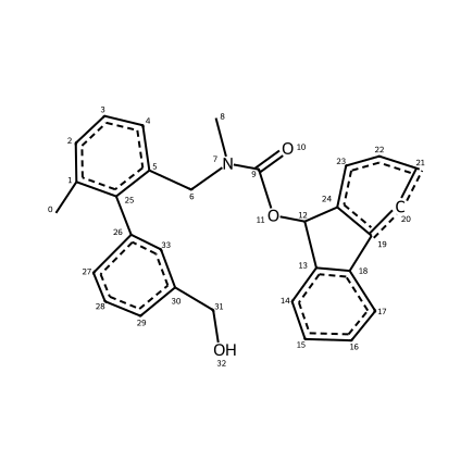 Cc1cccc(CN(C)C(=O)OC2c3ccccc3-c3ccccc32)c1-c1cccc(CO)c1